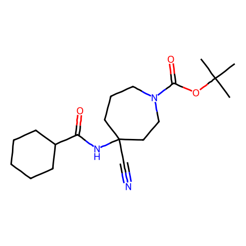 CC(C)(C)OC(=O)N1CCCC(C#N)(NC(=O)C2CCCCC2)CC1